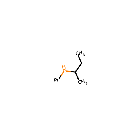 CCC(C)[PH][Pr]